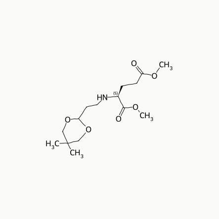 COC(=O)CC[C@H](NCCC1OCC(C)(C)CO1)C(=O)OC